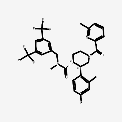 Cc1cccc(C(=O)N2CC[C@@H](C(=O)N(C)Cc3cc(C(F)(F)F)cc(C(F)(F)F)c3)[C@H](c3ccc(F)cc3C)C2)n1